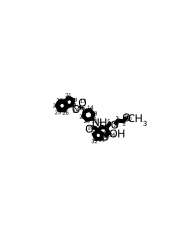 COCCOCC(CC1(C(=O)N[C@H]2CC[C@@H](C(=O)O[C@H]3CCc4ccccc43)CC2)CCCC1)C(=O)O